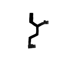 C=CC(CCCCCC)C(C)=O